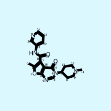 Cc1oc2ncn(C3CCN(C)CC3)c(=O)c2c1C(=O)Nc1cccnc1